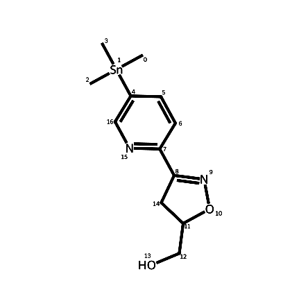 [CH3][Sn]([CH3])([CH3])[c]1ccc(C2=NOC(CO)C2)nc1